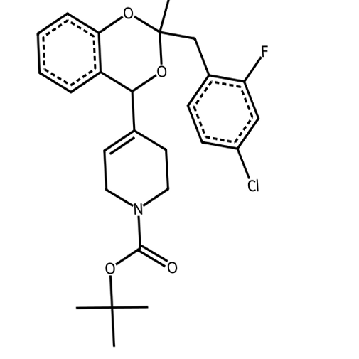 CC(C)(C)OC(=O)N1CC=C(C2OC(C)(Cc3ccc(Cl)cc3F)Oc3ccccc32)CC1